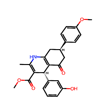 COC(=O)C1=C(C)NC2=C(C(=O)C[C@H](c3ccc(OC)cc3)C2)[C@@H]1c1cccc(O)c1